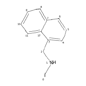 INCc1cccc2ccccc12